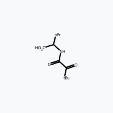 CCCC(NC(=O)C(=O)C(C)(C)C)C(=O)O